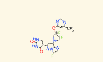 O=c1[nH]cc(-c2cc(N3C[C@H](Oc4cc(C(F)(F)F)ncn4)C(F)(F)C3)c3ncc(F)n3n2)c(=O)[nH]1